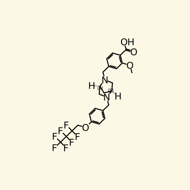 COc1cc(CN2C[C@@H]3C[C@H]2CN3Cc2ccc(OCC(F)(F)C(F)(F)C(F)(F)F)cc2)ccc1C(=O)O